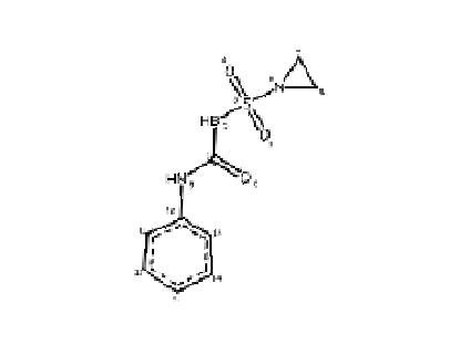 O=C(BS(=O)(=O)N1CC1)Nc1ccccc1